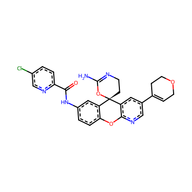 NC1=NCC[C@]2(O1)c1cc(NC(=O)c3ccc(Cl)cn3)ccc1Oc1ncc(C3=CCOCC3)cc12